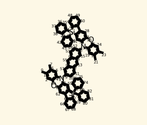 Cc1cc2c(cc1C)N(c1ccc3cc4cc(N5c6cc(C)c(C)cc6Oc6cc7c(cc65)[Si](c5ccccc5)(c5ccccc5)c5ccccc5-7)ccc4cc3c1)c1cc3c(cc1O2)-c1ccccc1[Si]3(c1ccccc1)c1ccccc1